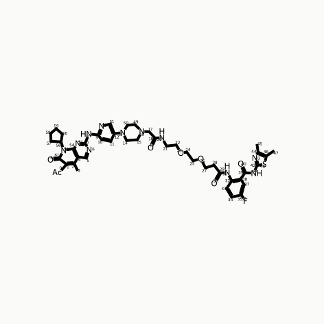 CC(=O)c1c(C)c2cnc(Nc3ccc(N4CCN(CC(=O)NCCOCCOCCC(=O)Nc5ccc(F)cc5C(=O)Nc5nc(C)c(C)s5)CC4)cn3)nc2n(C2CCCC2)c1=O